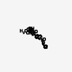 CC(C)(C)N(C[C@H]1CN(c2ccc3c(c2)CCN(C(=O)COCc2ccccc2)C3)C(=O)O1)C(=O)O